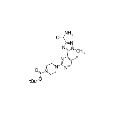 Cn1nc(C(N)=O)nc1-c1nc(N2CCN(C(=O)OC(C)(C)C)CC2)ncc1F